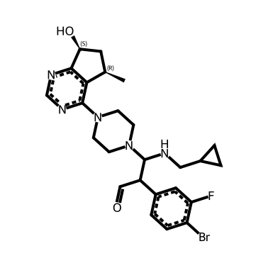 C[C@@H]1C[C@H](O)c2ncnc(N3CCN(C(NCC4CC4)C(C=O)c4ccc(Br)c(F)c4)CC3)c21